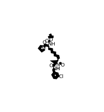 CC(C)(C)OC(=O)N[C@@H](CCCCC/C=C\[C@@H]1C[C@]1(NC=O)C(=O)NCc1cccc(Cl)c1)C(=O)N1CCCC1